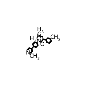 Cc1cccc([C@H](CC(C)C)C(=O)Nc2ccc(-c3ccnc(C)c3)cc2)c1